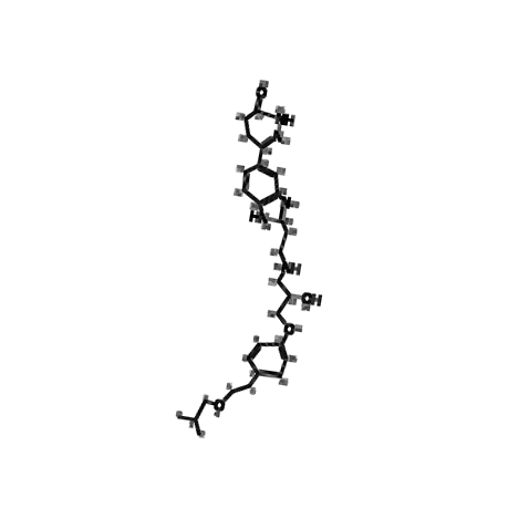 CC(C)COCCc1ccc(OCC(O)CNCCc2nc3cc(C4=NNC(=O)CC4)ccc3[nH]2)cc1